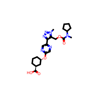 CN(C(=O)OCc1c(-c2cnc(O[C@H]3CCC[C@H](C(=O)O)C3)cn2)nnn1C)C1CCCC1